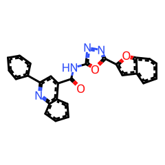 O=C(Nc1nnc(-c2cc3ccccc3o2)o1)c1cc(-c2ccccc2)nc2ccccc12